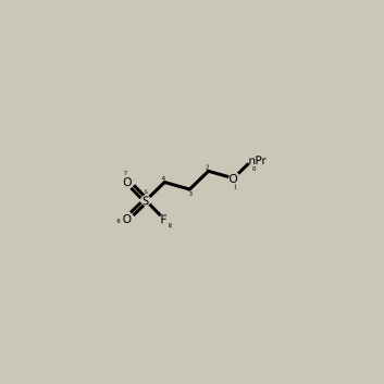 CCCOCCCS(=O)(=O)F